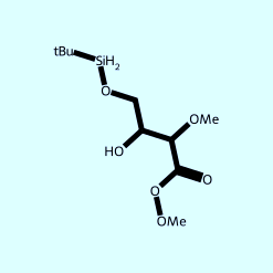 COOC(=O)C(OC)C(O)CO[SiH2]C(C)(C)C